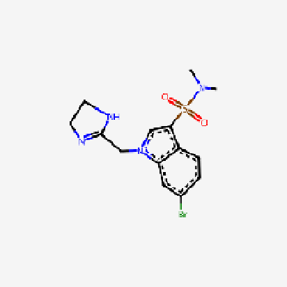 CN(C)S(=O)(=O)c1cn(CC2=NCCN2)c2cc(Br)ccc12